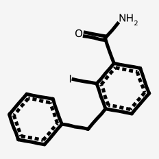 NC(=O)c1cccc(Cc2ccccc2)c1I